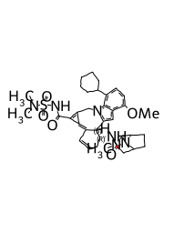 COc1ccc(C2CCCCC2)c2c1cc1n2CC2=C(C(=O)NS(=O)(=O)N(C)C)C2=C2C=CC[C@@H](NC(=O)N3C4CCC3CN(C)C4)[C@H]21